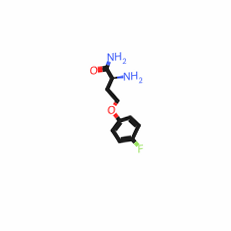 NC(=O)[C@@H](N)CCOc1ccc(F)cc1